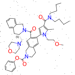 CCCCN(CCCC)C(=O)c1cc(-c2cc3c(cc2C(=O)N2Cc4ccccc4C[C@H]2CN2CCOCC2)CN(C(=O)Oc2ccccc2)CC3)n(CCOC)c1C